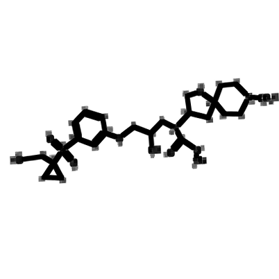 CC(C)(C)OC(=O)N(CC(O)COc1cccc(S(=O)(=O)C2(CO)CC2)c1)C1COC2(CCN(C(=O)O)CC2)C1